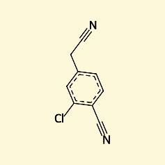 N#CCc1ccc(C#N)c(Cl)c1